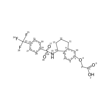 O=C(O)COc1ccc2c(c1)CCCC2NS(=O)(=O)c1ccc(C(F)(F)F)cc1